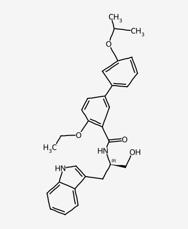 CCOc1ccc(-c2cccc(OC(C)C)c2)cc1C(=O)N[C@@H](CO)Cc1c[nH]c2ccccc12